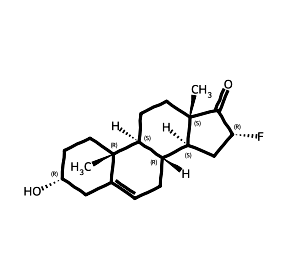 C[C@]12CC[C@@H](O)CC1=CC[C@@H]1[C@@H]2CC[C@]2(C)C(=O)[C@H](F)C[C@@H]12